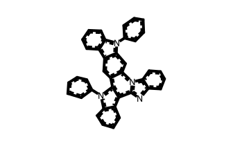 c1ccc(-n2c3ccccc3c3cc4c5c(c6ccccc6n5-c5ccccc5)c5nc6ccccc6n5c4cc32)cc1